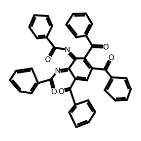 O=C(N=C1C(C(=O)c2ccccc2)=CC(C(=O)c2ccccc2)=C(C(=O)c2ccccc2)C1=NC(=O)c1ccccc1)c1ccccc1